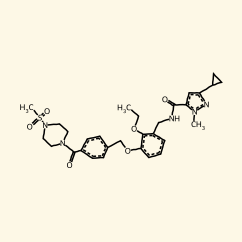 CCOc1c(CNC(=O)c2cc(C3CC3)nn2C)cccc1OCc1ccc(C(=O)N2CCN(S(C)(=O)=O)CC2)cc1